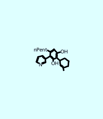 CCCCCc1cc(O)c(C2C=C(C)CCC2)c(O)c1-c1cccnc1